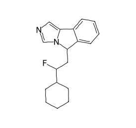 FC(CC1c2ccccc2-c2cncn21)C1CCCCC1